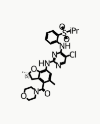 Cc1cc(Nc2ncc(Cl)c(Nc3ccccc3S(=O)(=O)C(C)C)n2)c2c(c1C(=O)N1CCOCC1)C[C@H](C)O2